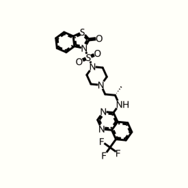 C[C@@H](CN1CCN(S(=O)(=O)n2c(=O)sc3ccccc32)CC1)Nc1ncnc2c(C(F)(F)F)cccc12